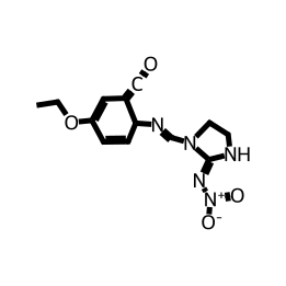 CCOC1=CC(=C=O)C(N=CN2CCNC2=N[N+](=O)[O-])C=C1